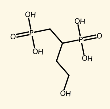 O=P(O)(O)CC(CCO)P(=O)(O)O